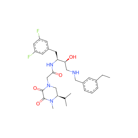 CCc1cccc(CNC[C@H](O)[C@H](Cc2cc(F)cc(F)c2)NC(=O)CN2C[C@@H](C(C)C)N(C)C(=O)C2=O)c1